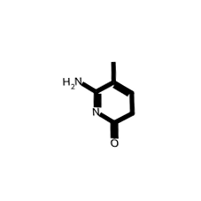 CC1=CCC(=O)N=C1N